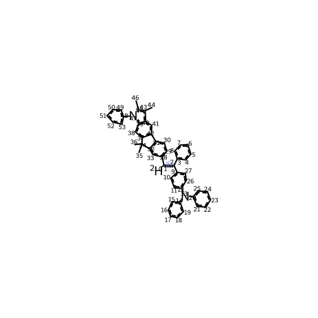 [2H]/C(=C(/c1ccccc1)c1ccc(N(c2ccccc2)c2ccccc2)cc1)c1ccc2c(c1)C(C)(C)c1cc3c(cc1-2)c(C)c(C)n3-c1ccccc1